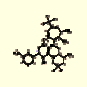 CN/C=C(\C(=N)C(=O)N1CC(F)(F)CC(C)C1CNC1=C(C)C(C)C=C(C(F)(F)F)C=N1)c1cccc(C)n1